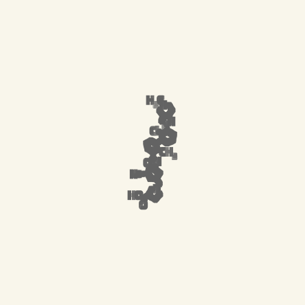 Cc1c(-c2nc3cc(CN4CCC(C(=O)O)C4)cc(C#N)c3o2)cccc1-c1cccc(-n2cc3c(n2)CCN(C)C3)c1Cl